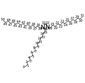 CCCCCCCCCCCCCCCCC1N(CCCCCCCCCCCCCC)C=CN1CCCCCCCCCCCCCCCC